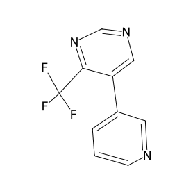 FC(F)(F)c1ncncc1-c1cccnc1